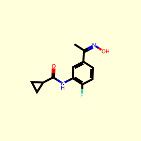 C/C(=N/O)c1ccc(F)c(NC(=O)C2CC2)c1